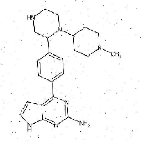 CN1CCC(N2CCNCC2c2ccc(-c3nc(N)nc4[nH]ccc34)cc2)CC1